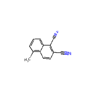 Cc1cccc2c(C#N)c(C#N)ccc12